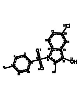 Cc1ccc(S(=O)(=O)n2c(C)c(O)c3cc(Cl)ccc32)cc1